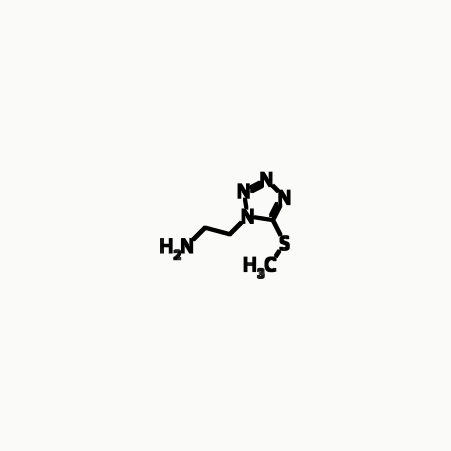 CSc1nnnn1CCN